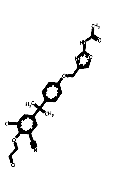 CC(=O)Nc1nc(COc2ccc(C(C)(C)c3cc(Cl)c(OCCCl)c(C#N)c3)cc2)co1